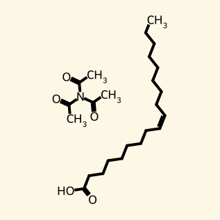 CC(=O)N(C(C)=O)C(C)=O.CCCCCCCC/C=C\CCCCCCCC(=O)O